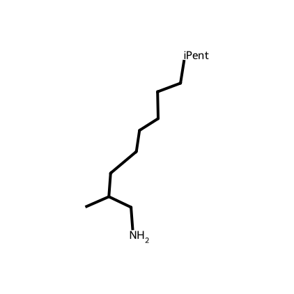 CCCC(C)CCCCCCC(C)CN